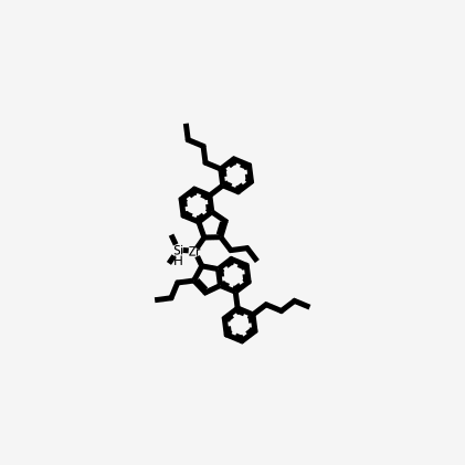 CCCCc1ccccc1-c1cccc2c1C=C(CCC)[CH]2[Zr]([CH]1C(CCC)=Cc2c(-c3ccccc3CCCC)cccc21)[SiH](C)C